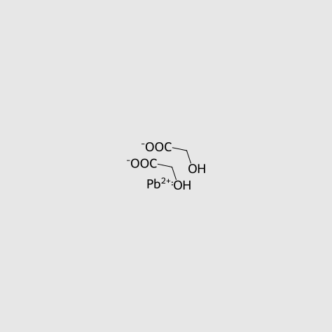 O=C([O-])CO.O=C([O-])CO.[Pb+2]